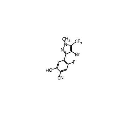 Cn1nc(-c2cc(O)c(C#N)cc2F)c(Br)c1C(F)(F)F